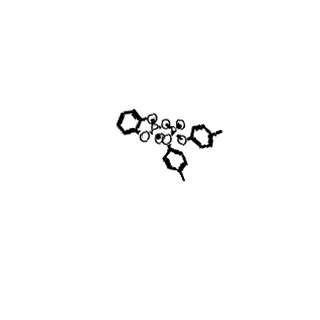 Cc1ccc(OP(=O)(Oc2ccc(C)cc2)OP2(=O)Oc3ccccc3O2)cc1